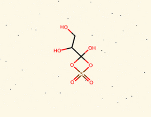 O=S1(=O)OC(O)(C(O)CO)O1